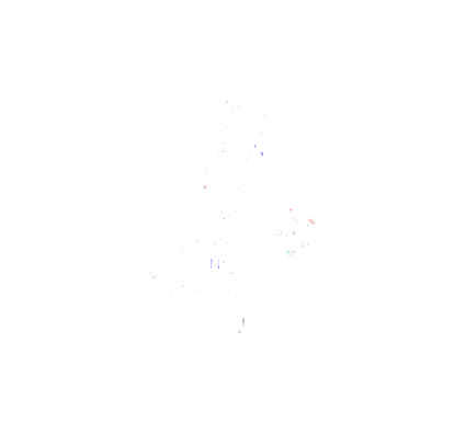 C#CCCCN1/C(=C/C=C/C=C/C2=[N+](C)c3ccccc3C2(C)CCO)C(C)(C)c2cc(C(F)(F)F)ccc21.O=C([O-])C(F)(F)F